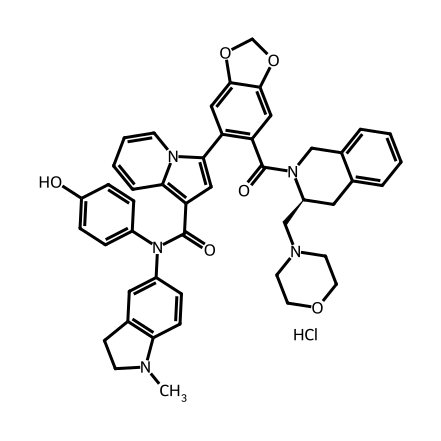 CN1CCc2cc(N(C(=O)c3cc(-c4cc5c(cc4C(=O)N4Cc6ccccc6C[C@H]4CN4CCOCC4)OCO5)n4ccccc34)c3ccc(O)cc3)ccc21.Cl